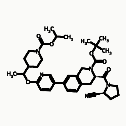 CC(C)OC(=O)N1CCC(C(C)Oc2ccc(-c3ccc4c(c3)CN(C(=O)OC(C)(C)C)[C@H](C(=O)N3CCC[C@H]3C#N)C4)cn2)CC1